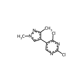 Cc1nn(C)cc1-c1cnc(Cl)nc1Cl